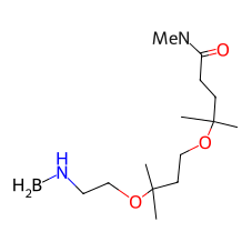 BNCCOC(C)(C)CCOC(C)(C)CCC(=O)NC